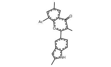 CC(=O)c1cc(C)cc2c(=O)c(C)c(-c3ccc4[nH]c(C)cc4c3)oc12